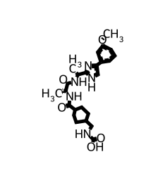 COc1cccc(-c2c[nH]c(C(C)NC(=O)[C@H](C)NC(=O)C3CCC(CNC(=O)O)CC3)n2)c1